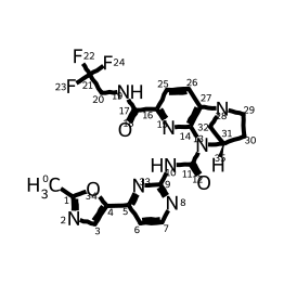 Cc1ncc(-c2ccnc(NC(=O)N3c4nc(C(=O)NCC(F)(F)F)ccc4N4CC[C@H]3C4)n2)o1